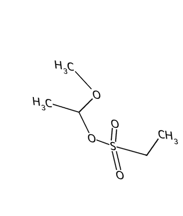 CCS(=O)(=O)OC(C)OC